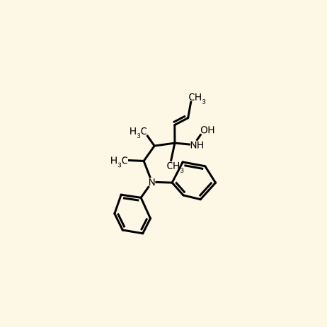 CC=CC(C)(NO)C(C)C(C)N(c1ccccc1)c1ccccc1